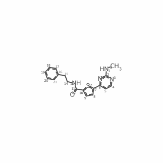 CNc1nccc(-c2ccc(C(=O)NCCc3ccccc3)s2)n1